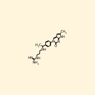 Cc1cc2cn(-c3ccc([C@H](C)NCCCNC(=N)N)cc3)c(=O)nc2[nH]1